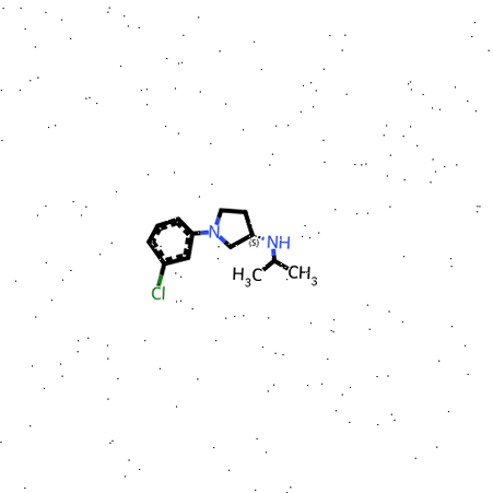 CC(C)N[C@H]1CCN(c2cccc(Cl)c2)C1